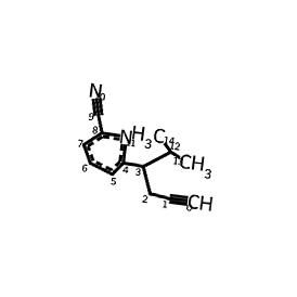 C#CCC(c1cccc(C#N)n1)C(C)C